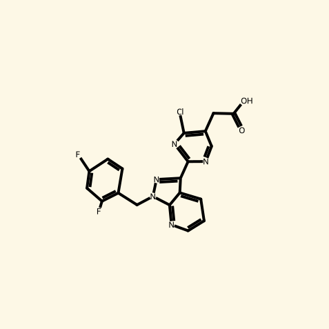 O=C(O)Cc1cnc(-c2nn(Cc3ccc(F)cc3F)c3ncccc23)nc1Cl